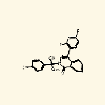 O=c1c2ccccc2c(-c2ccc(F)nc2F)nn1C(O)(O)c1ccc(Cl)cc1